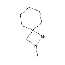 CN1CC2(CCCCC2)[N]1